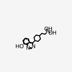 Oc1cccc2c(C3CCC(CCP(O)O)CC3)ncnc12